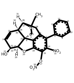 CN1CC[C@]23c4c5c(-c6ccccc6)c([N+](=O)[O-])c(O[N+](=O)[O-])c4O[C@H]2[C@@H](O)C=C[C@H]3[C@H]1C5